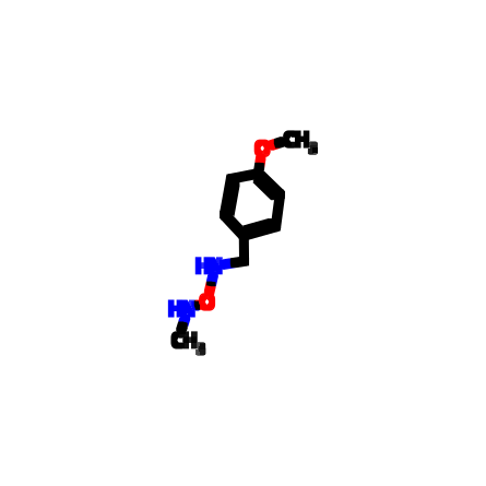 CNONCc1ccc(OC)cc1